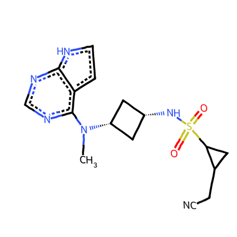 CN(c1ncnc2[nH]ccc12)[C@H]1C[C@@H](NS(=O)(=O)C2CC2CC#N)C1